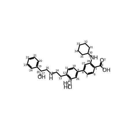 Cl.Cl.O=C(O)c1ccc(-c2ccc(CCNC[C@H](O)c3ccccc3)cc2)cc1NC1CCCCC1